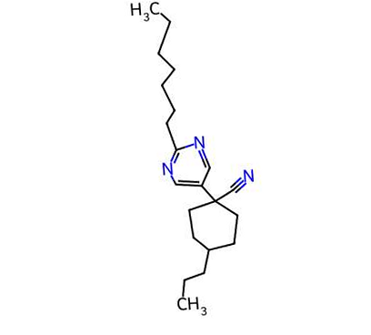 CCCCCCCc1ncc(C2(C#N)CCC(CCC)CC2)cn1